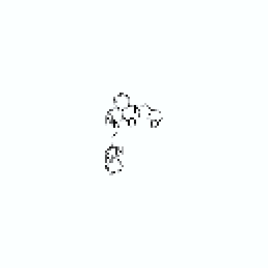 O=c1c2c(N3CC4CCOC4C3)cccc2cnn1CCc1cn2ccccc2n1